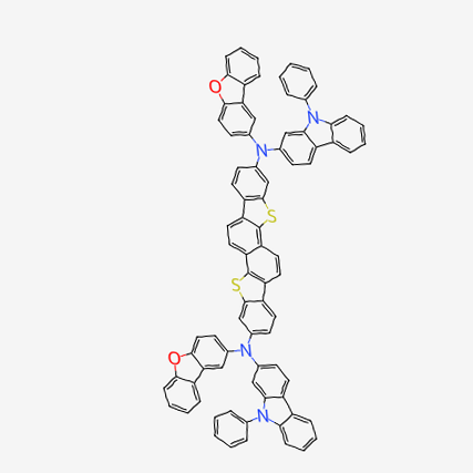 c1ccc(-n2c3ccccc3c3ccc(N(c4ccc5c(c4)sc4c5ccc5c4ccc4c6ccc(N(c7ccc8oc9ccccc9c8c7)c7ccc8c9ccccc9n(-c9ccccc9)c8c7)cc6sc45)c4ccc5oc6ccccc6c5c4)cc32)cc1